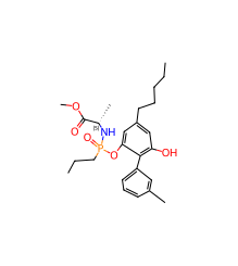 CCCCCc1cc(O)c(-c2cccc(C)c2)c(OP(=O)(CCC)N[C@@H](C)C(=O)OC)c1